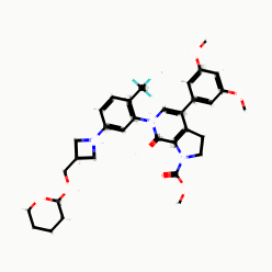 COC(=O)N1CCc2c(-c3cc(OC)cc(OC)c3)cn(-c3cc(N4CC(COC5CCCCO5)C4)ccc3C(F)(F)F)c(=O)c21